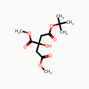 COC(=O)CC(O)(CC(=O)OC(C)(C)C)C(=O)OC